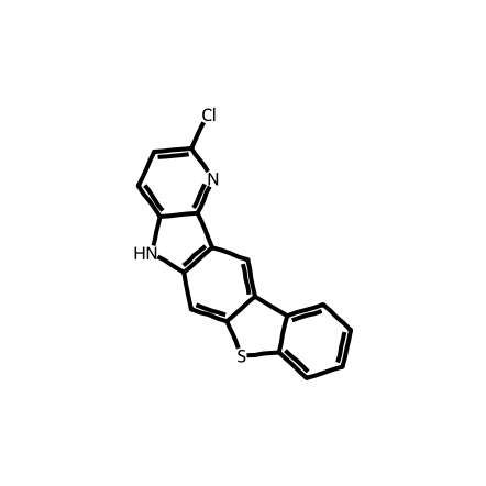 Clc1ccc2[nH]c3cc4sc5ccccc5c4cc3c2n1